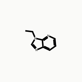 CCn1cnc2c[c]cnc21